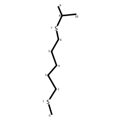 CSCCC[CH]CSC(C)C